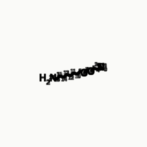 C[Si](C)(C)CCOCOCCCCCCCCN